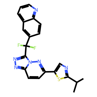 CC(C)c1ncc(-c2ccc3nnc(C(F)(F)c4ccc5ncccc5c4)n3n2)s1